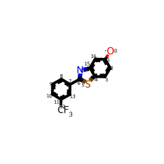 [O]c1ccc2sc(-c3cccc(C(F)(F)F)c3)nc2c1